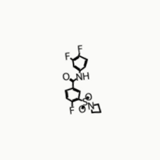 O=C(Nc1ccc(F)c(F)c1)c1ccc(F)c(S(=O)(=O)N2CCC2)c1